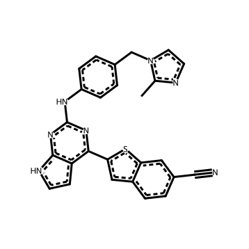 Cc1nccn1Cc1ccc(Nc2nc(-c3cc4ccc(C#N)cc4s3)c3cc[nH]c3n2)cc1